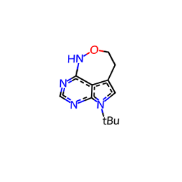 CC(C)(C)n1cc2c3c(ncnc31)NOCC2